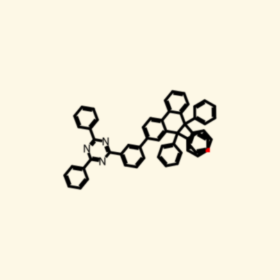 c1ccc(-c2nc(-c3ccccc3)nc(-c3cccc(-c4ccc5c(c4)C(c4ccccc4)(c4ccccc4)C(c4ccccc4)(c4ccccc4)c4ccccc4-5)c3)n2)cc1